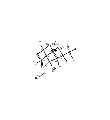 O=S(=O)(O)C(F)(C(F)(F)F)C(F)(F)C(O)(CCO)C(C(F)(F)F)(C(F)(F)F)S(=O)(=O)O